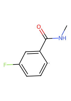 CNC(=O)c1[c]ccc(F)c1